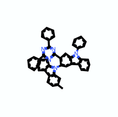 Cc1ccc2c3ccccc3n(-c3cc4c5ccccc5n(-c5ccccc5)c4cc3-c3nc(-c4ccccc4)nc(-c4ccccc4)n3)c2c1